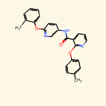 Cc1ccc(Oc2ncccc2C(=O)Nc2ccc(Oc3ccccc3C)nc2)cc1